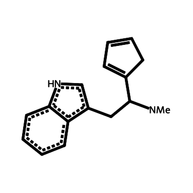 CNC(Cc1c[nH]c2ccccc12)C1=CC=CC1